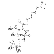 CCCCCCCCC(=O)C(OP(=O)([O-])OCC[N+](C)(C)C)[C@H](CO)OO